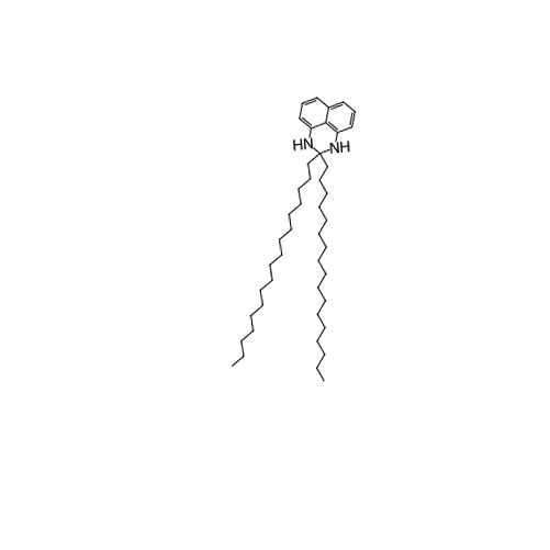 CCCCCCCCCCCCCCCCCC1(CCCCCCCCCCCCCCCCC)Nc2cccc3cccc(c23)N1